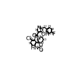 O=C1Nc2ccc(Cl)c(F)c2[C@@]2(CCCN(C(=O)c3cnn(Cc4ccc(F)cc4)c3O)C2)O1